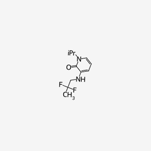 CC(C)n1cccc(NCC(C)(F)F)c1=O